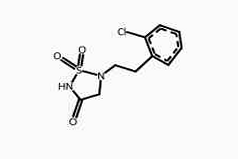 O=C1CN(CCc2ccccc2Cl)S(=O)(=O)N1